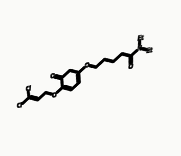 CCN(CC)C(=O)CCCCOC1=CC=C(OCC=C(Cl)Cl)C(=O)C1